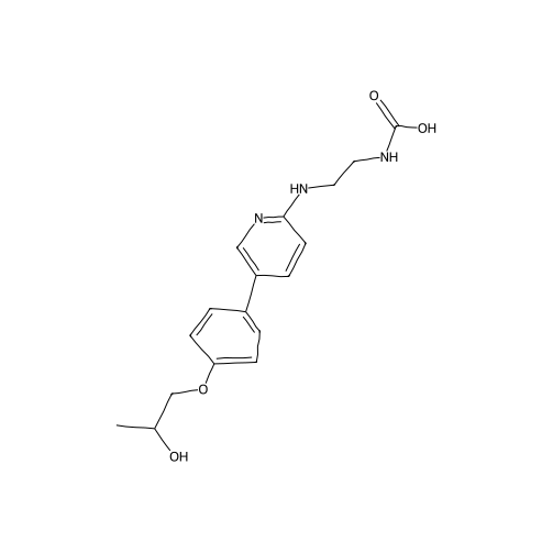 CC(O)COc1ccc(-c2ccc(NCCNC(=O)O)nc2)cc1